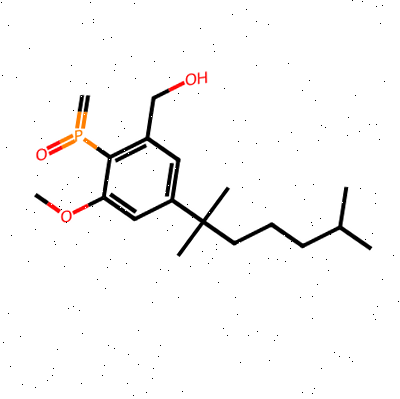 C=P(=O)c1c(CO)cc(C(C)(C)CCCC(C)C)cc1OC